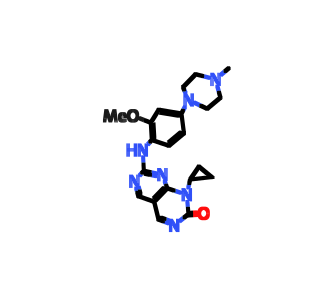 COc1cc(N2CCN(C)CC2)ccc1Nc1ncc2cnc(=O)n(C3CC3)c2n1